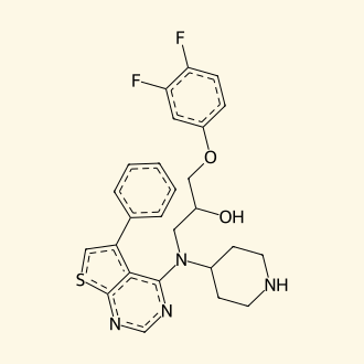 OC(COc1ccc(F)c(F)c1)CN(c1ncnc2scc(-c3ccccc3)c12)C1CCNCC1